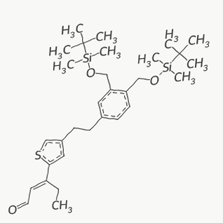 CC/C(=C\C=O)c1cc(CCc2ccc(CO[Si](C)(C)C(C)(C)C)c(CO[Si](C)(C)C(C)(C)C)c2)cs1